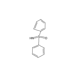 N=S(=O)(c1ccccc1)c1ccccc1